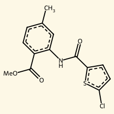 COC(=O)c1ccc(C)cc1NC(=O)c1ccc(Cl)s1